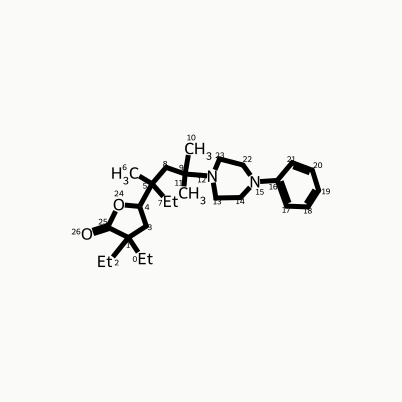 CCC1(CC)CC(C(C)(CC)CC(C)(C)N2CCN(c3ccccc3)CC2)OC1=O